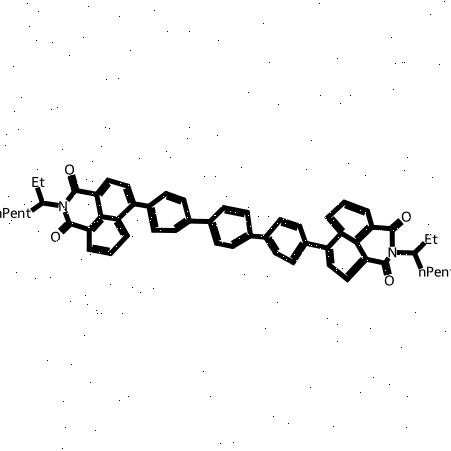 CCCCCC(CC)N1C(=O)c2cccc3c(-c4ccc(-c5ccc(-c6ccc(-c7ccc8c9c(cccc79)C(=O)N(C(CC)CCCCC)C8=O)cc6)cc5)cc4)ccc(c23)C1=O